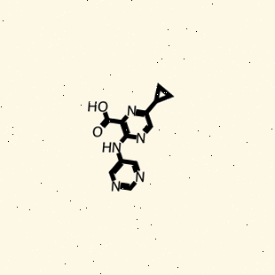 O=C(O)c1nc(C2CC2)cnc1Nc1cncnc1